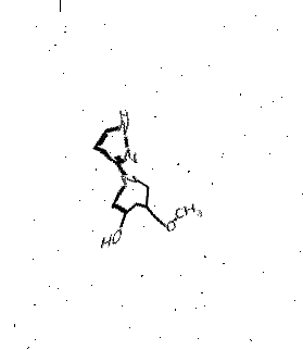 COC1CN(c2cc[nH]n2)CC1O